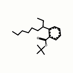 CCCCCCC(CC)c1ccccc1C(=O)OC(C)(C)C